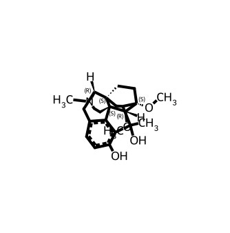 CO[C@@]12CC[C@@]3(CC1C(C)(C)O)[C@H]1Cc4ccc(O)c5c4[C@@]3(CCN1C)[C@H]2O5